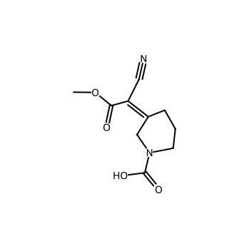 COC(=O)/C(C#N)=C1/CCCN(C(=O)O)C1